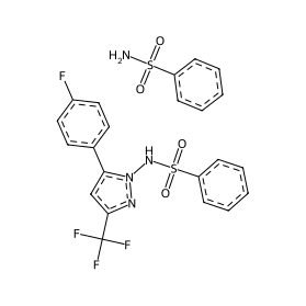 NS(=O)(=O)c1ccccc1.O=S(=O)(Nn1nc(C(F)(F)F)cc1-c1ccc(F)cc1)c1ccccc1